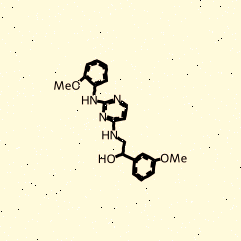 COc1cccc(C(O)CNc2ccnc(Nc3ccccc3OC)n2)c1